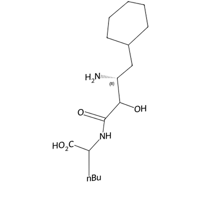 CCCCC(NC(=O)C(O)[C@H](N)CC1CCCCC1)C(=O)O